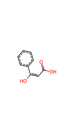 O=C(O)/C=C(/O)c1ccccc1